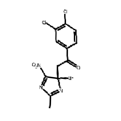 CC1=NC(Br)(CC(=O)c2ccc(Cl)c(Cl)c2)C([N+](=O)[O-])=N1